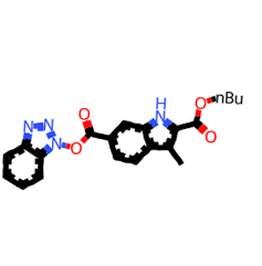 CCCCOC(=O)c1[nH]c2cc(C(=O)On3nnc4ccccc43)ccc2c1C